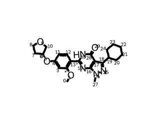 COc1cc(O[C@H]2CCOC2)ccc1-c1nc2c(c(C3CCCCC3)nn2C)c(=O)[nH]1